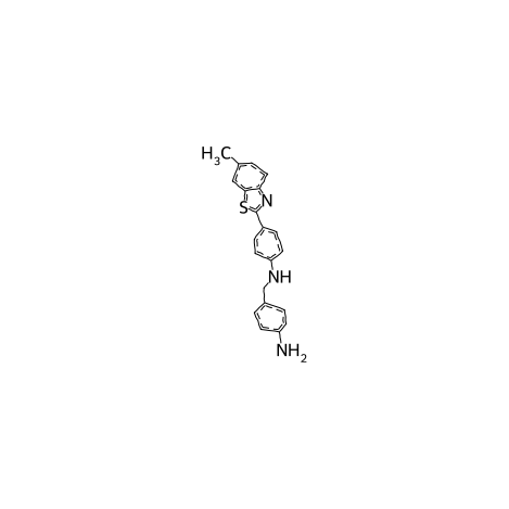 Cc1ccc2nc(-c3ccc(NCc4ccc(N)cc4)cc3)sc2c1